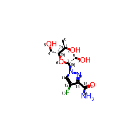 C[C@@H](O)[C@@H](CO)O[C@H](CO)n1cc(F)c(C(N)=O)n1